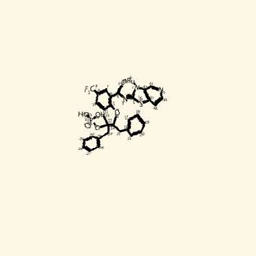 CCCCn1c(=NC(=O)c2cc(C(F)(F)F)ccc2OC(Cc2ccccc2)C(C)(Cc2ccccc2)OP(=O)(O)O)sc2ccncc21